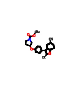 CCc1oc2ccc(C#N)cc2c1-c1ccc(O[C@H]2CCN(C(=O)OC(C)(C)C)C2)cc1